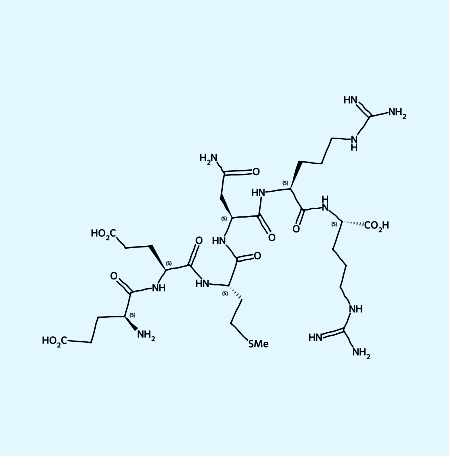 CSCC[C@H](NC(=O)[C@H](CCC(=O)O)NC(=O)[C@@H](N)CCC(=O)O)C(=O)N[C@@H](CC(N)=O)C(=O)N[C@@H](CCCNC(=N)N)C(=O)N[C@@H](CCCNC(=N)N)C(=O)O